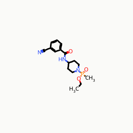 CCOP(C)(=O)N1CCC(NC(=O)c2cccc(C#N)c2)CC1